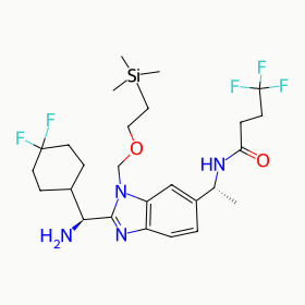 C[C@@H](NC(=O)CCC(F)(F)F)c1ccc2nc([C@@H](N)C3CCC(F)(F)CC3)n(COCC[Si](C)(C)C)c2c1